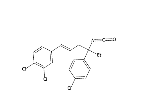 CCC(CC=Cc1ccc(Cl)c(Cl)c1)(N=C=O)c1ccc(Cl)cc1